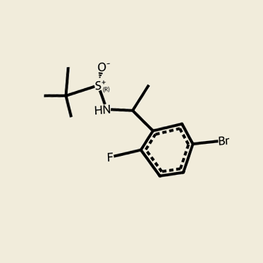 CC(N[S@@+]([O-])C(C)(C)C)c1cc(Br)ccc1F